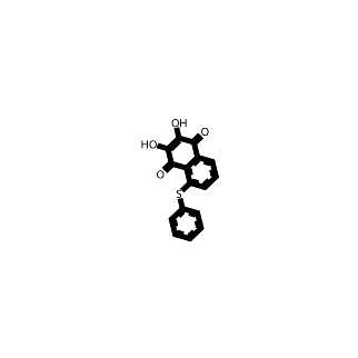 O=C1C(O)=C(O)C(=O)c2c(Sc3ccccc3)cccc21